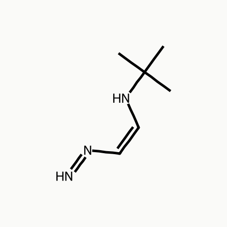 CC(C)(C)N/C=C\N=N